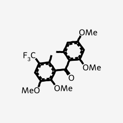 COc1cc(C)c(C(=O)c2c(C)c(C(F)(F)F)cc(OC)c2OC)c(OC)c1